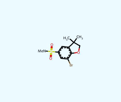 CNS(=O)(=O)c1cc(Br)c2c(c1)C(C)(C)CO2